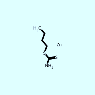 CCCCSC(N)=S.[Zn]